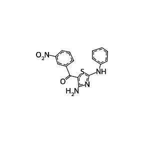 Nc1nc(Nc2ccccc2)sc1C(=O)c1cccc([N+](=O)[O-])c1